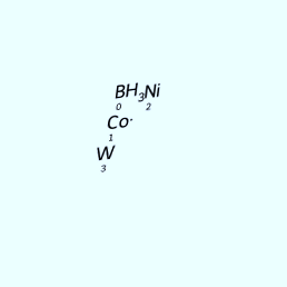 B.[Co].[Ni].[W]